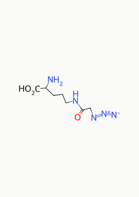 [N-]=[N+]=NCC(=O)NCCCC(N)C(=O)O